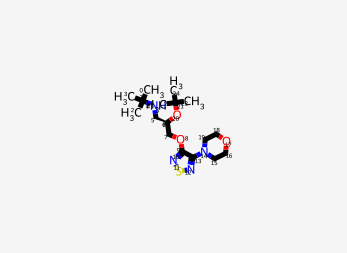 CC(C)(C)NC[C@H](COc1nsnc1N1CCOCC1)OC(C)(C)C